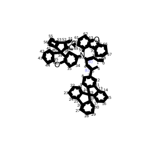 C=C/C=C(\C=C(/C)c1ccc2c(c1)-c1ccccc1C21c2ccccc2-c2ccccc21)N(c1ccc2c(c1)C1(c3ccccc3O2)c2ccccc2-c2ccccc21)c1cccc2oc3ccccc3c12